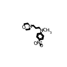 CN(CCCN1CCOCC1)c1ccc([N+](=O)[O-])cc1